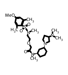 COc1cc(C)c(S(=O)(=O)N(C)CCOCC(=O)N(C)[C@@H]2CCC[C@@H](N3CCC(N(C)C)C3)C2)c(C)c1